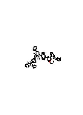 Cc1ccc(-c2ccc(-c3cc(-c4ccccc4)nc(-c4ccc(-c5nc6ccccc6n5-c5ccccc5)cc4)n3)cc2)cc1-c1ccccc1[SiH](c1ccccc1)c1ccccc1